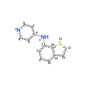 c1cc(Nc2ccncc2)c2sccc2c1